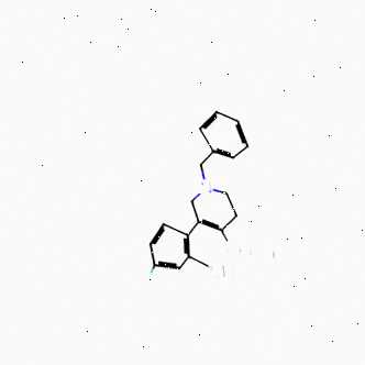 CCOC(=O)C1=C(c2ccc(F)cc2C)CN(Cc2ccccc2)CC1